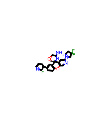 NC1=N[C@@]2(COC1)c1cc(-c3cccnc3F)ccc1Oc1cnc(N3CCC(F)(F)C3)cc12